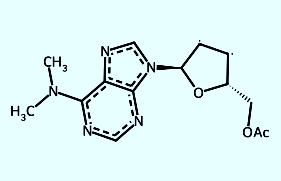 CC(=O)OC[C@H]1[CH][CH][C@H](n2cnc3c(N(C)C)ncnc32)O1